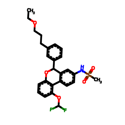 CCOCCCc1cccc(C2Oc3cccc(OC(F)F)c3-c3ccc(NS(C)(=O)=O)cc32)c1